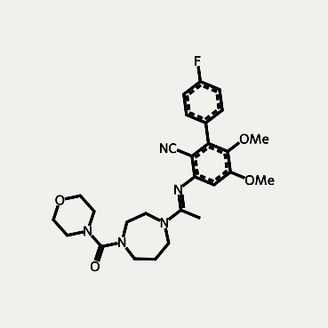 COc1cc(N=C(C)N2CCCN(C(=O)N3CCOCC3)CC2)c(C#N)c(-c2ccc(F)cc2)c1OC